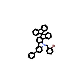 Brc1ccccc1Cn1c2ccc(-c3ccccc3)cc2c2ccc3c(c21)-c1ccccc1C31c2ccccc2-c2ccccc21